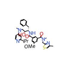 COc1cc(C(=O)N[C@@H](Cc2ccccc2)[C@H](O)CN(C)c2ccnc(C(C)C)c2)cc(C(=O)N(C)Cc2nc(C)cs2)c1